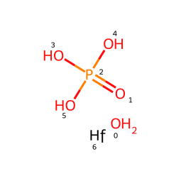 O.O=P(O)(O)O.[Hf]